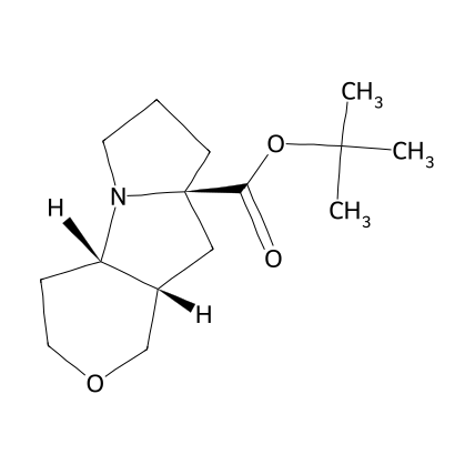 CC(C)(C)OC(=O)[C@]12CCCN1[C@H]1CCOC[C@H]1C2